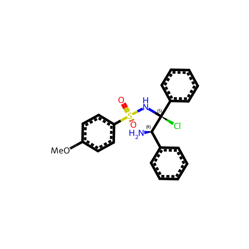 COc1ccc(S(=O)(=O)N[C@](Cl)(c2ccccc2)[C@H](N)c2ccccc2)cc1